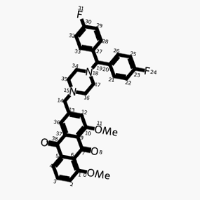 COc1cccc2c1C(=O)c1c(OC)cc(CN3CCN(C(c4ccc(F)cc4)c4ccc(F)cc4)CC3)cc1C2=O